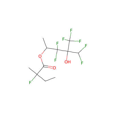 CCC(C)(F)C(=O)OC(C)C(F)(F)C(O)(C(F)F)C(F)(F)F